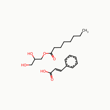 CCCCCCCC(=O)OCC(O)CO.O=C(O)C=Cc1ccccc1